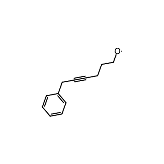 [O]CCCC#CCc1ccccc1